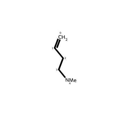 C=CCCNC